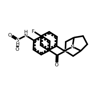 O=C(c1ccc(N[SH](=O)=O)cc1)N1CC2CCC(C1)N2Cc1ccc(F)cc1